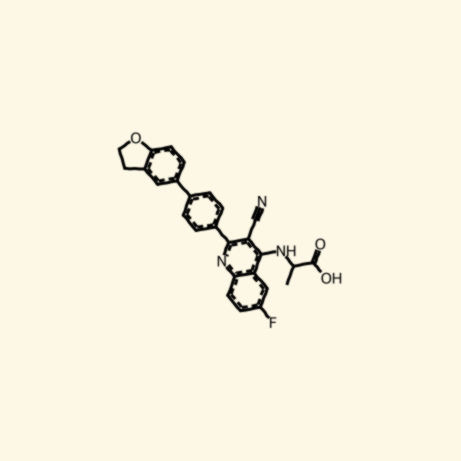 CC(Nc1c(C#N)c(-c2ccc(-c3ccc4c(c3)CCO4)cc2)nc2ccc(F)cc12)C(=O)O